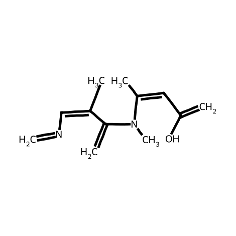 C=N/C=C(/C)C(=C)N(C)/C(C)=C\C(=C)O